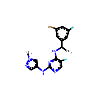 [CH2][C](Nc1nc(Nc2cnn(C)c2)ncc1F)c1cc(F)cc(Br)c1